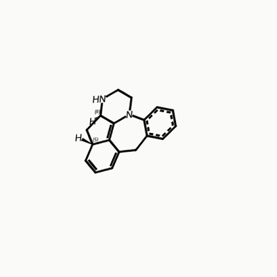 C1=C[C@@H]2C[C@H]3NCCN4C3=C2C(=C1)Cc1ccccc14